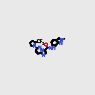 Cn1cc2ccc(NC(=O)c3cnc4ccc(N5CCCC5C(F)(F)F)nn34)cc2n1